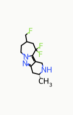 C[C@@H]1Cc2nn3c(c2CN1)C(F)(F)CC(CF)CC3